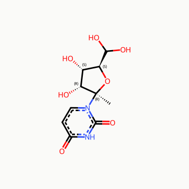 C[C@@]1(n2ccc(=O)[nH]c2=O)O[C@H](C(O)O)[C@@H](O)[C@H]1O